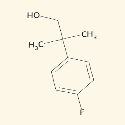 CC(C)(CO)c1ccc(F)cc1